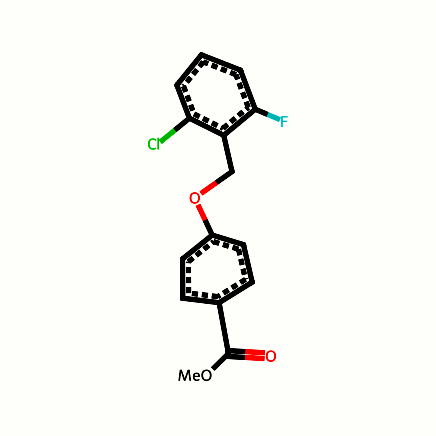 COC(=O)c1ccc(OCc2c(F)cccc2Cl)cc1